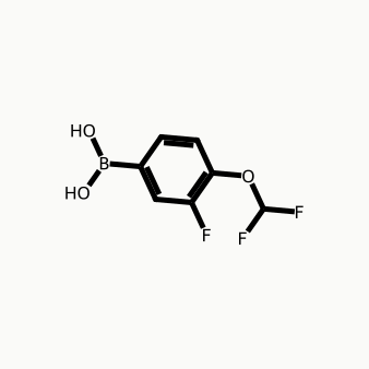 OB(O)c1ccc(OC(F)F)c(F)c1